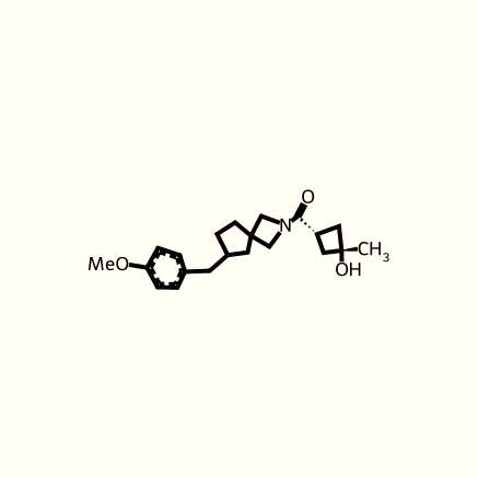 COc1ccc(CC2CCC3(C2)CN(C(=O)[C@H]2C[C@@](C)(O)C2)C3)cc1